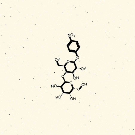 O=[N+]([O-])c1ccc(O[C@@H]2O[C@H](CO)[C@H](O[C@H]3O[C@H](CO)[C@H](O)[C@H](O)[C@H]3O)[C@H](O)[C@H]2O)cc1